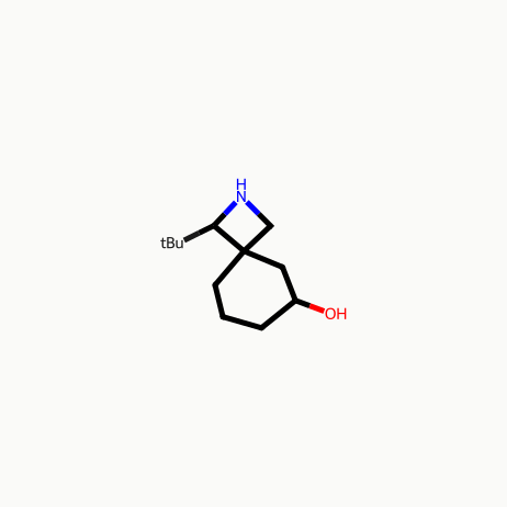 CC(C)(C)C1NCC12CCCC(O)C2